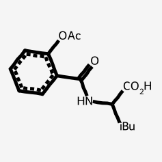 CCC(C)C(NC(=O)c1ccccc1OC(C)=O)C(=O)O